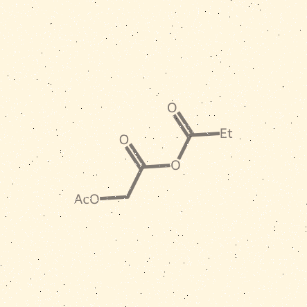 CCC(=O)OC(=O)COC(C)=O